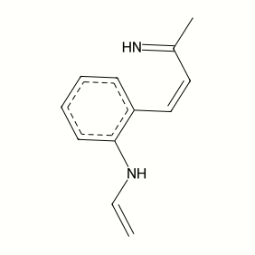 C=CNc1ccccc1/C=C\C(C)=N